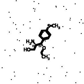 CCO[C@@H](c1ccc(SC)cc1)[C@@H](N)CO